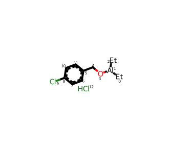 C[CH2][Al]([CH2]C)[O]Cc1ccc(Cl)cc1.Cl